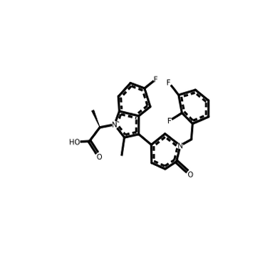 Cc1c(-c2ccc(=O)n(Cc3cccc(F)c3F)c2)c2cc(F)ccc2n1[C@H](C)C(=O)O